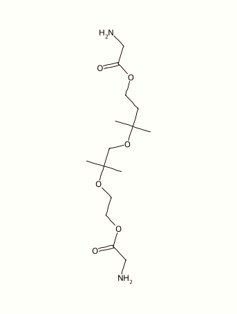 CC(C)(CCOC(=O)CN)OCC(C)(C)OCCOC(=O)CN